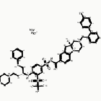 Cl.Cl.O=C(NS(=O)(=O)c1ccc(N[C@H](CCN2CCOCC2)CSc2ccccc2)c(S(=O)(=O)C(F)(F)F)c1)c1ccc2c(c1)C[C@@H]1CN(Cc3ccccc3-c3ccc(Cl)cc3)CCN21